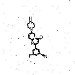 N#Cc1cc(F)cc(-c2cc(=O)n3cc(N4CCNCC4)ccc3n2)c1